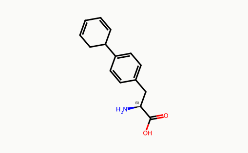 N[C@@H](Cc1ccc(C2C=CC=CC2)cc1)C(=O)O